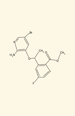 COC(=O)c1ccc(F)cc1C(C)Oc1cc(Br)cnc1N